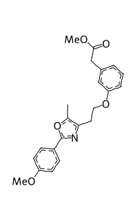 COC(=O)Cc1cccc(OCCc2nc(-c3ccc(OC)cc3)oc2C)c1